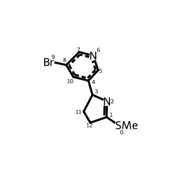 CSC1=NC(c2cncc(Br)c2)CC1